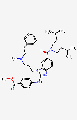 COC(=O)c1ccc(Nc2nc3ccc(C(=O)N(CCC(C)C)CCC(C)C)cc3n2CCCN(C)CCc2ccccc2)cc1